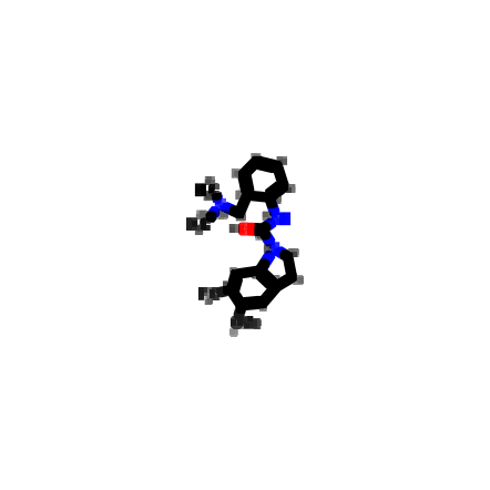 COc1cc2c(cc1C(F)(F)F)N(C(=O)Nc1ccccc1CN(C)C)CC2